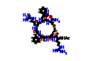 CC(=O)N[C@@H](CCCNC(=N)N)C(=O)N[C@@H]1CCSSC[C@@H](C(N)=O)NC(=O)[C@H](Cc2c[nH]c3ccccc23)NC(=O)[C@H](CCCNC(=N)N)NC(=O)[C@@H](Cc2ccccc2)NC(=O)[C@@H](C)NC1=O